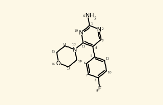 Nc1ncc(-c2ccc(F)cc2)c(N2CCOCC2)n1